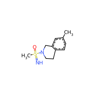 Cc1ccc2c(c1)CN(S(C)(=N)=O)CC2